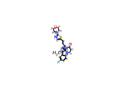 CC1(C)c2cc(F)ccc2N2CCC(=O)NC21/C=C/C=C/c1cnc(N2CCOCC2)s1